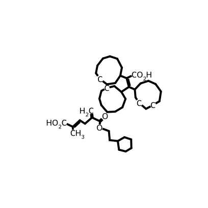 C=C(CC=C(C)C(=O)O)C(=O)OCCC1CCCCC1.O=C(O)C(=C(C1CCCCCCCCC1)C1CCCCCCCCC1)C1CCCCCCCCC1